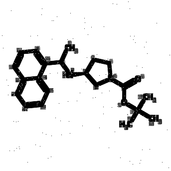 CC(N[C@H]1CCN(C(=O)OC(C)(C)C)C1)c1cccc2ccccc12